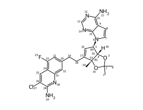 CC1(C)O[C@H]2[C@H](n3ccc4c(N)ncnc43)C=C(CCc3cc(F)c4cc(Cl)c(N)nc4c3)[C@@]2(C)O1